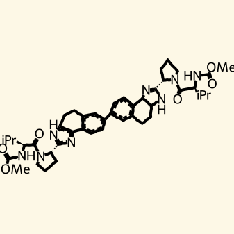 COC(=O)N[C@H](C(=O)N1CCC[C@H]1C1=NC2c3ccc(-c4ccc5c(c4)CCc4[nH]c([C@@H]6CCCN6C(=O)[C@@H](NC(=O)OC)C(C)C)nc4-5)cc3CCC2N1)C(C)C